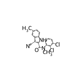 Cc1ccc2[nH]c(C(=O)N(C)c3cccc(Cl)c3Cl)c(C#N)c2c1